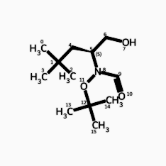 CC(C)(C)C[C@@H](CO)N(C=O)OC(C)(C)C